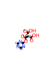 O=[C](O)[Cu]([C](=O)O)[C](=O)Oc1ncncn1